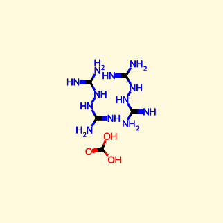 N=C(N)NNC(=N)N.N=C(N)NNC(=N)N.O=C(O)O